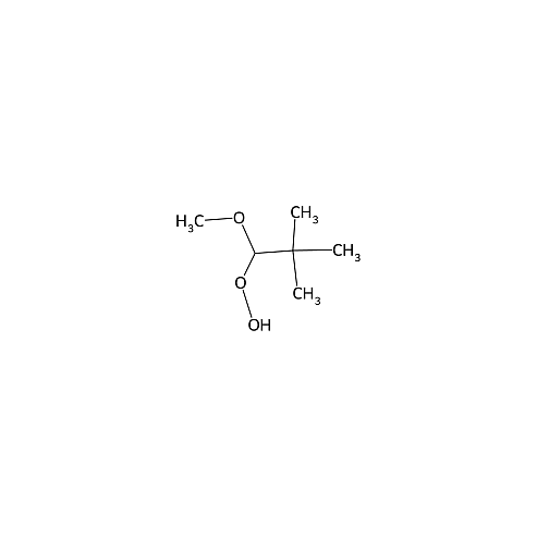 COC(OO)C(C)(C)C